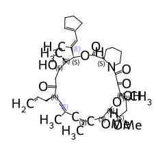 C=CC[C@@H]1/C=C(\C)C[C@H](C)C[C@H](OC)[C@H]2O[C@@](O)(C(=O)C(=O)N3CCCC[C@H]3C(=O)O[C@H](/C(C)=C/C3=CCCC3)[C@H](C)[C@@H](O)CC1=O)[C@H](C)C[C@@H]2OC